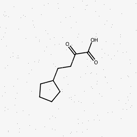 O=C(O)C(=O)CCC1CCCC1